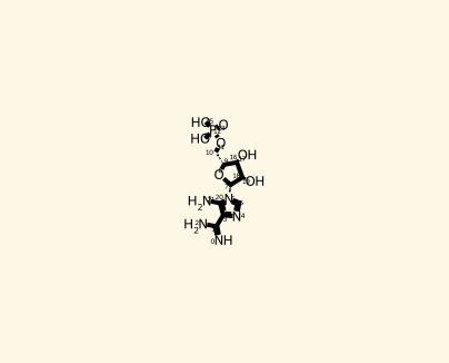 N=C(N)c1ncn([C@@H]2O[C@H](COP(=O)(O)O)[C@@H](O)[C@H]2O)c1N